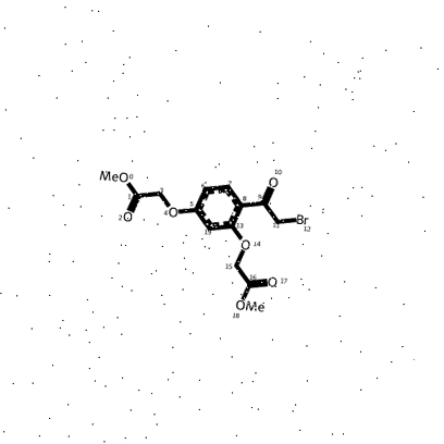 COC(=O)COc1ccc(C(=O)CBr)c(OCC(=O)OC)c1